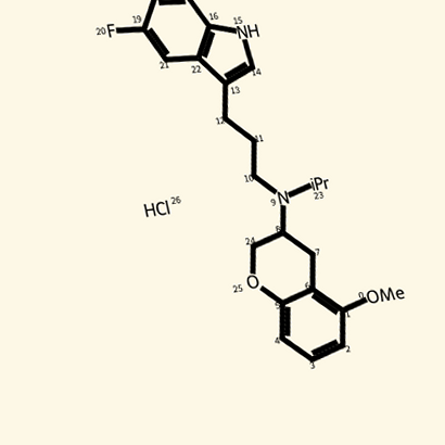 COc1cccc2c1CC(N(CCCc1c[nH]c3ccc(F)cc13)C(C)C)CO2.Cl